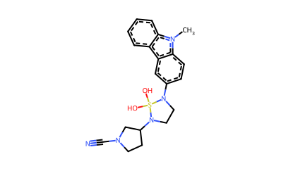 Cn1c2ccccc2c2cc(N3CCN(C4CCN(C#N)C4)S3(O)O)ccc21